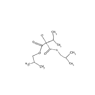 CC(C)COC(=O)C(Cl)(C(=O)OCC(C)C)C(C)C